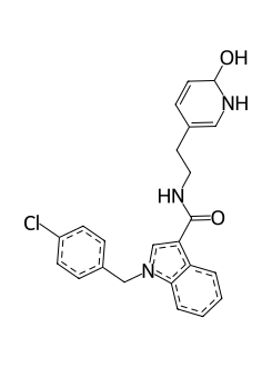 O=C(NCCC1=CNC(O)C=C1)c1cn(Cc2ccc(Cl)cc2)c2ccccc12